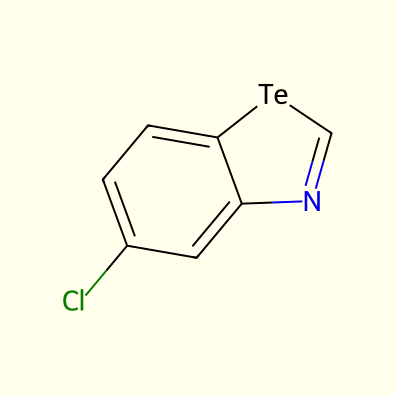 Clc1ccc2[te]cnc2c1